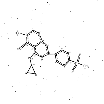 Cn1cnc2cc(-c3ccc(S(C)(=O)=O)cc3)nc(NC3CC3)c2c1=O